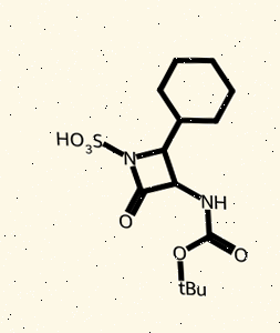 CC(C)(C)OC(=O)NC1C(=O)N(S(=O)(=O)O)C1C1CCCCC1